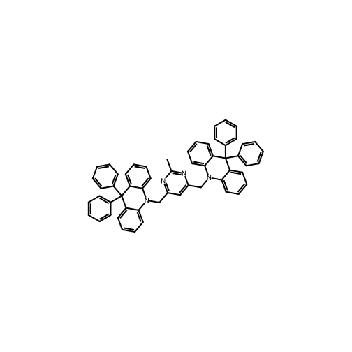 Cc1nc(CN2c3ccccc3C(c3ccccc3)(c3ccccc3)c3ccccc32)cc(CN2c3ccccc3C(c3ccccc3)(c3ccccc3)c3ccccc32)n1